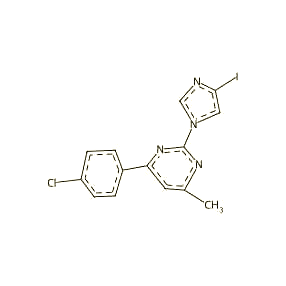 Cc1cc(-c2ccc(Cl)cc2)nc(-n2cnc(I)c2)n1